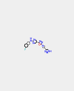 Fc1ccc2c(c1)CC(Nc1ncc(-c3nnc(N4CC(c5c[nH]nn5)C4)o3)cn1)C2